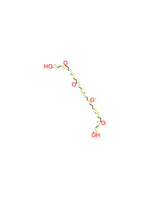 O=C(CCSCSCCC[S+]([O-])CCSCSCCSC(=O)CCSCSCCC(=O)SCCSCO)SCCSCO